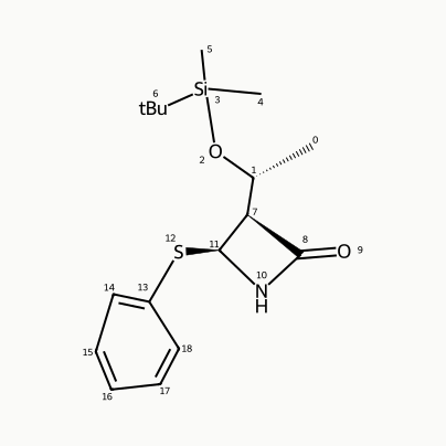 C[C@@H](O[Si](C)(C)C(C)(C)C)[C@H]1C(=O)N[C@H]1Sc1ccccc1